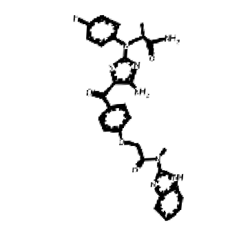 CC(C(N)=O)N(c1ccc(F)cc1)c1nc(N)c(C(=O)c2ccc(OCC(=O)N(C)c3nc4ccccc4[nH]3)cc2)s1